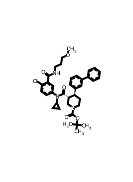 COCCCNC(=O)c1cc(N(C(=O)[C@H]2CN(C(=O)OC(C)(C)C)CC[C@@H]2c2cccc(-c3ccccc3)c2)C2CC2)ccc1Cl